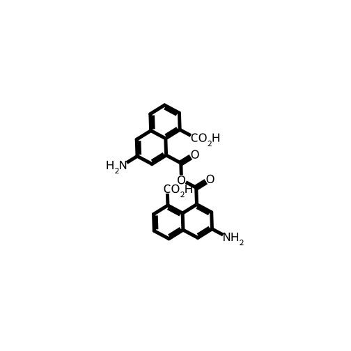 Nc1cc(C(=O)OC(=O)c2cc(N)cc3cccc(C(=O)O)c23)c2c(C(=O)O)cccc2c1